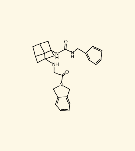 O=C(NCc1ccccc1)NC12CC3CC4CC(NCC(=O)N5Cc6ccccc6C5)(C1)C432